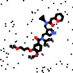 COCCCOc1cc(C(=O)N(C[C@@H]2CNC[C@H]2CN(C(=O)CC2CCCCO2)C2CC2)C(C)C)ccc1OC